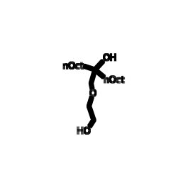 CCCCCCCCC(O)(CCCCCCCC)COCCO